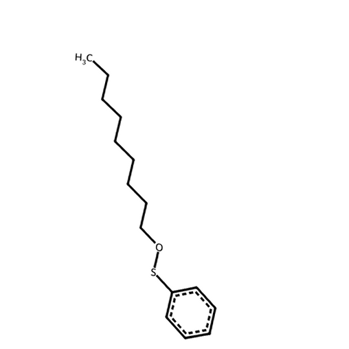 CCCCCCCCCOSc1ccccc1